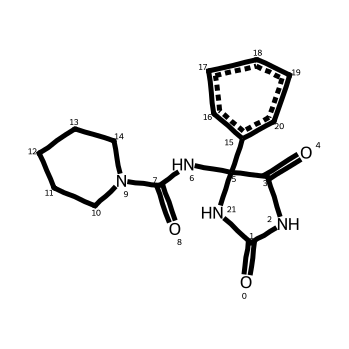 O=C1NC(=O)C(NC(=O)N2CCCCC2)(c2ccccc2)N1